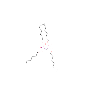 CCCCCCOP(=O)(CP(=O)(OCCCCCC)OCCCCCC)OCCCCCC